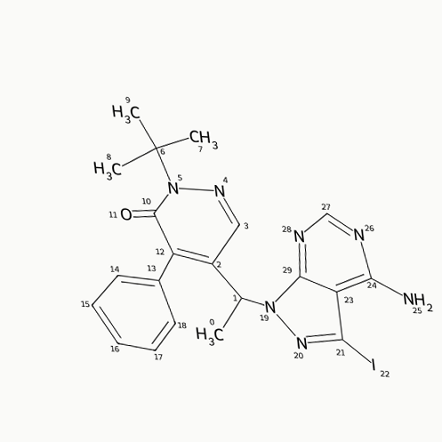 CC(c1cnn(C(C)(C)C)c(=O)c1-c1ccccc1)n1nc(I)c2c(N)ncnc21